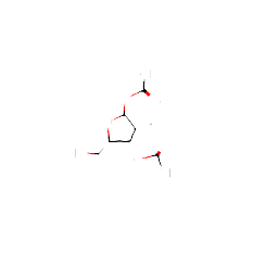 CC(=O)OC1O[C@H](CO)[C@@H](OC(C)=O)[C@H]1Cl